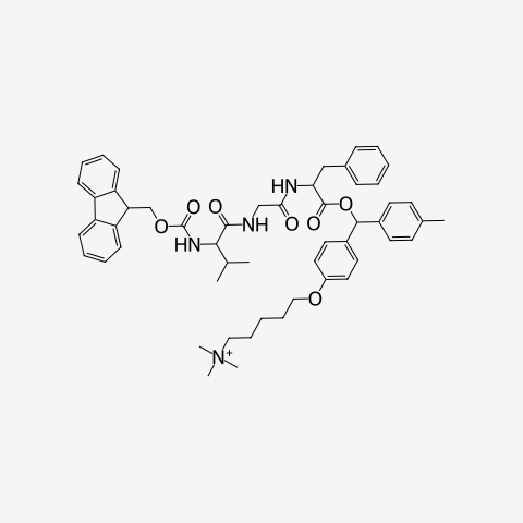 Cc1ccc(C(OC(=O)C(Cc2ccccc2)NC(=O)CNC(=O)C(NC(=O)OCC2c3ccccc3-c3ccccc32)C(C)C)c2ccc(OCCCCC[N+](C)(C)C)cc2)cc1